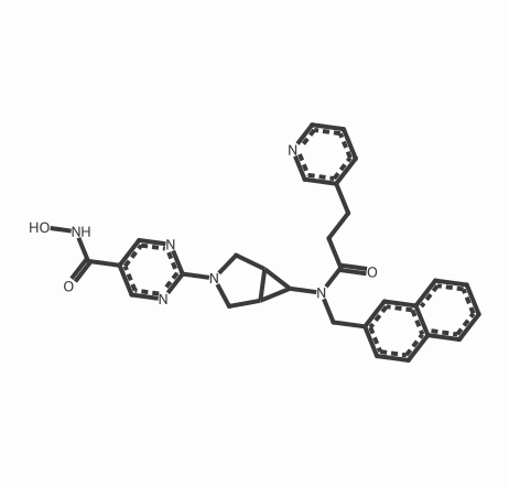 O=C(NO)c1cnc(N2CC3C(C2)C3N(Cc2ccc3ccccc3c2)C(=O)CCc2cccnc2)nc1